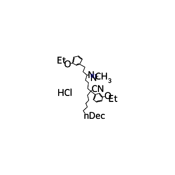 CCCCCCCCCCCCCCCC(C#N)(CCCC(CCc1cccc(OCC)c1)/N=N/C)c1cccc(OCC)c1.Cl